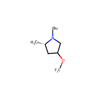 C[C@H]1CC(OC(F)(F)F)CN1C(C)(C)C